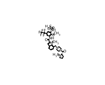 COc1c(NC(=O)c2cc3cccc(CN4CCN(C(=O)[C@@H]5CCCN5C)CC4)c3n2C)cc(C(F)(F)C(F)(F)F)cc1NS(C)(=O)=O